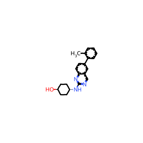 Cc1ccccc1-c1ccc2nc(N[C@H]3CC[C@H](O)CC3)ncc2c1